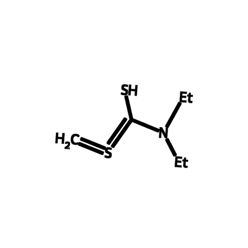 C=S=C(S)N(CC)CC